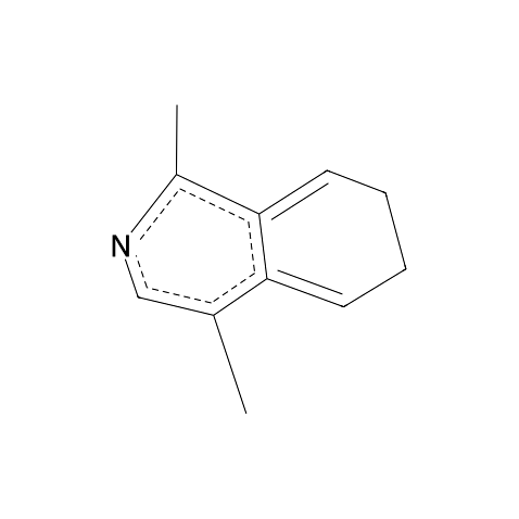 Cc1cnc(C)c2c1=CCCC=2